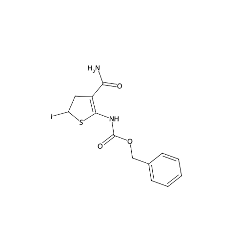 NC(=O)C1=C(NC(=O)OCc2ccccc2)SC(I)C1